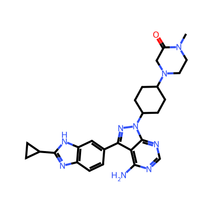 CN1CCN(C2CCC(n3nc(-c4ccc5nc(C6CC6)[nH]c5c4)c4c(N)ncnc43)CC2)CC1=O